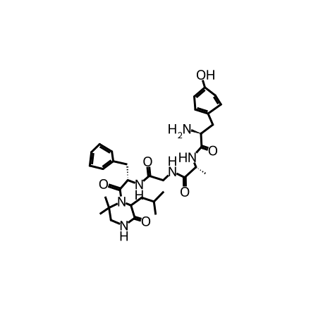 CC(C)CC1C(=O)NCC(C)(C)N1C(=O)[C@H](Cc1ccccc1)NC(=O)CNC(=O)[C@@H](C)NC(=O)[C@@H](N)Cc1ccc(O)cc1